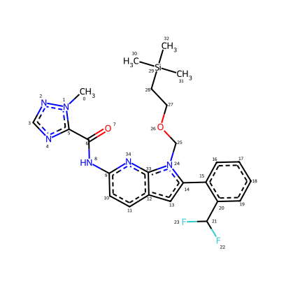 Cn1ncnc1C(=O)Nc1ccc2cc(-c3ccccc3C(F)F)n(COCC[Si](C)(C)C)c2n1